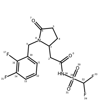 O=C(CC1CCC(=O)N1Cc1cccc(F)c1F)NS(=O)(=O)C(F)F